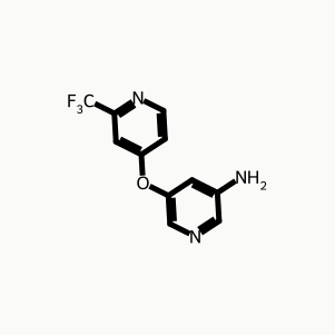 Nc1cncc(Oc2ccnc(C(F)(F)F)c2)c1